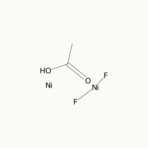 CC(=O)O.[F][Ni][F].[Ni]